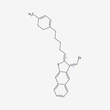 CC/C=c1\c(=C\CCCCC2=CC=C(C)CC2)sc2cc3ccccc3cc12